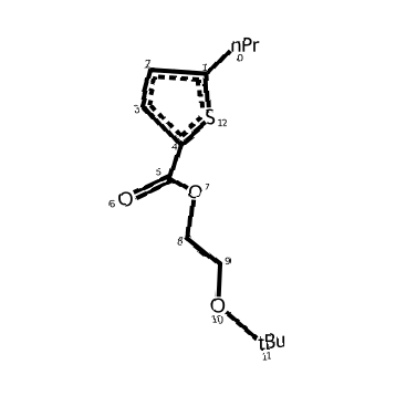 CCCc1ccc(C(=O)OCCOC(C)(C)C)s1